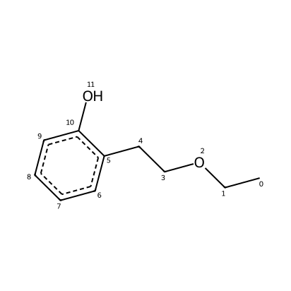 CCOCCc1ccccc1O